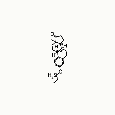 CC[SiH2]Oc1ccc2c(c1)CC[C@@H]1[C@@H]2CC[C@]2(C)C(=O)CC[C@@H]12